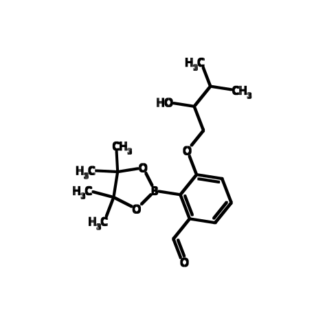 CC(C)C(O)COc1cccc(C=O)c1B1OC(C)(C)C(C)(C)O1